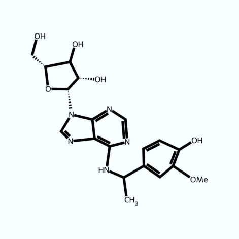 COc1cc(C(C)Nc2ncnc3c2ncn3[C@@H]2O[C@H](CO)C(O)[C@@H]2O)ccc1O